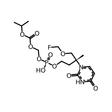 CC(C)OC(=O)OCOP(=O)(O)OCC[C@](C)(COCF)n1ccc(=O)[nH]c1=O